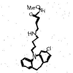 CONC(=O)/C=C/CNCCCCN1c2ccccc2CCc2ccc(Cl)cc21